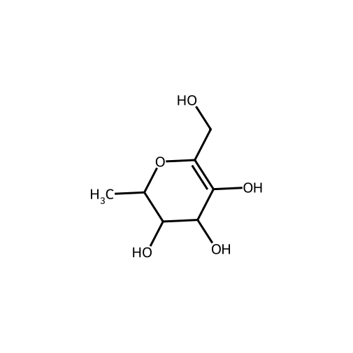 CC1OC(CO)=C(O)C(O)C1O